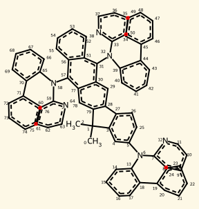 CC1(C)c2cc(N(c3ccccn3)c3ccccc3-c3ccccc3)ccc2-c2cc3c(N(c4ccccn4)c4ccccc4-c4ccccc4)c4ccccc4c(N(c4ccccn4)c4ccccc4-c4ccccc4)c3cc21